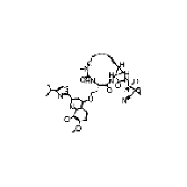 COc1ccc2c(OCC[C@@H]3NC(=O)N(C)CCCCC=C[C@@H]4C[C@@]4(C(=O)NS(=O)(=O)C4(C#N)CC4)NC3=O)cc(-c3nc(C(C)C)cs3)nc2c1Cl